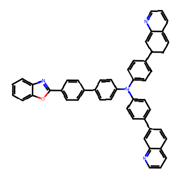 C1=c2cccnc2=CC(c2ccc(N(c3ccc(-c4ccc(-c5nc6ccccc6o5)cc4)cc3)c3ccc(-c4ccc5cccnc5c4)cc3)cc2)C1